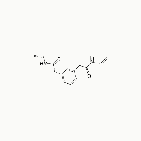 C=CNC(=O)Cc1cccc(CC(=O)NC=C)c1